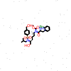 COC(=O)N(C(=O)[C@@H](N)Cc1ccccc1Br)[C@@H](C)CCC[C@@H](CO)N(CC(C)C)S(=O)(=O)c1ccc(CO)cc1